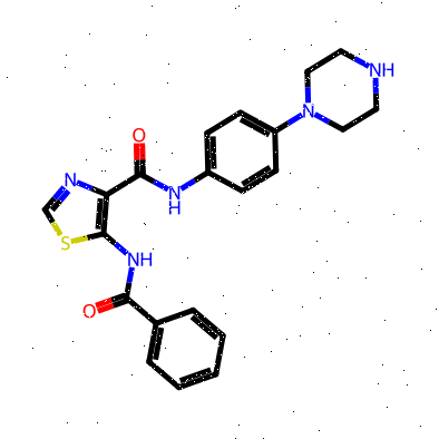 O=C(Nc1scnc1C(=O)Nc1ccc(N2CCNCC2)cc1)c1ccccc1